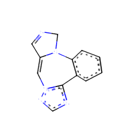 C1=NCN2C1=Cn1ncnc1-c1ccccc12